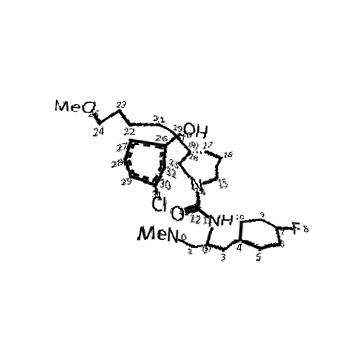 CNC[C@H](CC1CCC(F)CC1)NC(=O)N1CCC[C@@H]([C@@](O)(CCCCOC)c2cccc(Cl)c2)C1